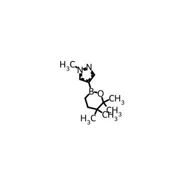 Cn1cc(B2CCC(C)(C)C(C)(C)O2)cn1